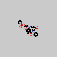 COCCCCN1C(=O)C(C)(COC(=O)N2CCCC2)Oc2cc(C)c(C(=O)N(C(C)C)C3CCCCC3)cc21